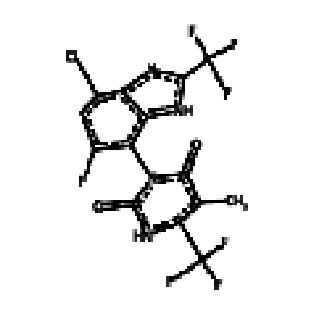 Cc1c(C(F)(F)F)[nH]c(=O)n(-c2c(F)cc(Cl)c3nc(C(F)(F)F)[nH]c23)c1=O